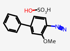 COc1cc(-c2ccccc2)ccc1[N+]#N.O=S(=O)(O)O